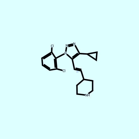 Clc1cccc(Cl)c1-n1nnc(C2CC2)c1/C=C/C1CCNCC1